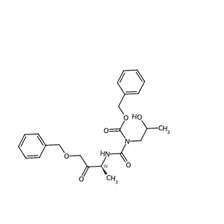 CC(O)CN(C(=O)N[C@@H](C)C(=O)COCc1ccccc1)C(=O)OCc1ccccc1